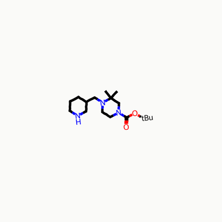 CC(C)(C)OC(=O)N1CCN(CC2CCCNC2)C(C)(C)C1